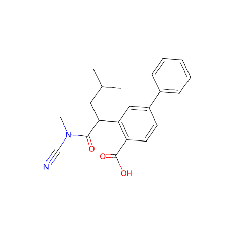 CC(C)CC(C(=O)N(C)C#N)c1cc(-c2ccccc2)ccc1C(=O)O